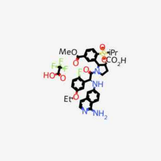 CCOc1ccc(F)c([C@@H](Nc2ccc3c(N)nccc3c2)C(=O)N2CCC(C(=O)O)C2c2cc(C(=O)OC)ccc2S(=O)(=O)C(C)C)c1.O=C(O)C(F)(F)F